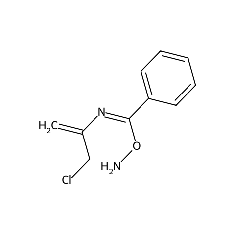 C=C(CCl)/N=C(\ON)c1ccccc1